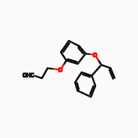 C=CC(Oc1cccc(OCCC=O)c1)c1ccccc1